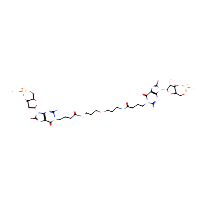 Nc1nc2c(nc(Br)n2[C@@H]2OC3COP(=O)(O)O[C@H]3[C@@H]2O)c(=O)n1CCCC(=O)NCCCOCCCNC(=O)CCCn1c(N)nc2c(nc(Br)n2[C@@H]2OC3COP(=O)(C=O)O[C@H]3[C@@H]2O)c1=O